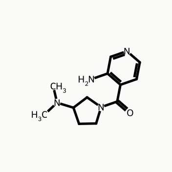 CN(C)C1CCN(C(=O)c2ccncc2N)C1